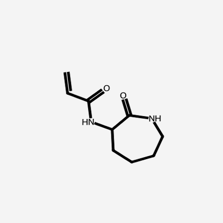 C=CC(=O)NC1CCCCNC1=O